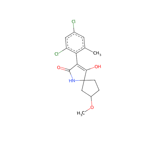 COC1CCC2(C1)NC(=O)C(c1c(C)cc(Cl)cc1Cl)=C2O